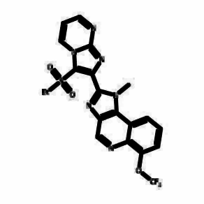 CCS(=O)(=O)c1c(-c2nc3cnc4c(OC(F)(F)F)cccc4c3n2C)nc2ncccn12